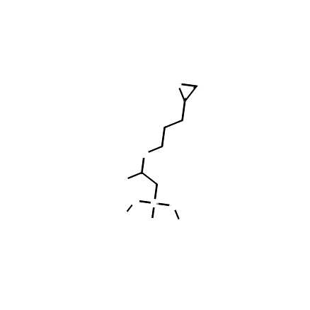 CO[Si](C)(CC(C)OCCCC1CO1)OC